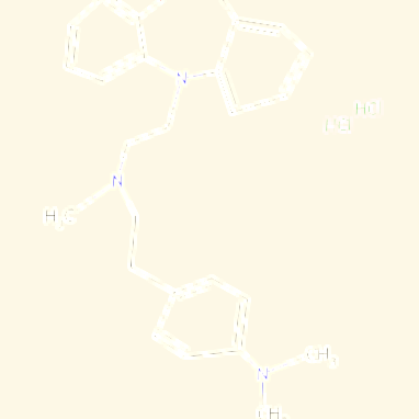 CN(CCc1ccc(N(C)C)cc1)CCN1c2ccccc2COc2ccccc21.Cl.Cl